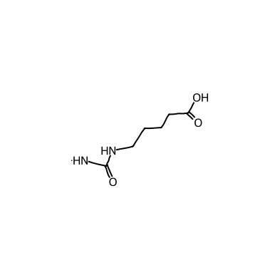 [NH]C(=O)NCCCCC(=O)O